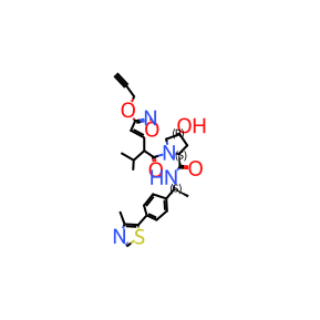 C#CCOc1cc(C(C(=O)N2C[C@H](O)C[C@H]2C(=O)N[C@@H](C)c2ccc(-c3scnc3C)cc2)C(C)C)on1